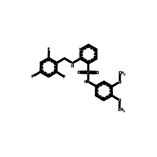 COc1ccc(NS(=O)(=O)c2cccnc2NCc2c(F)cc(F)cc2F)cc1OC